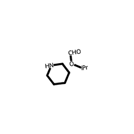 C1CCNCC1.CC(C)OC=O